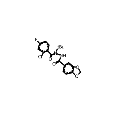 CC(C)(C)N(NC(=O)c1ccc2c(c1)OCO2)C(=O)c1ccc(F)cc1Cl